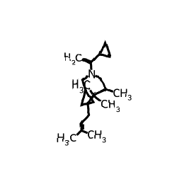 C=C(C1CC1)N(CC1CC1)CC(C)C(C)(C)CCC=C(C)C